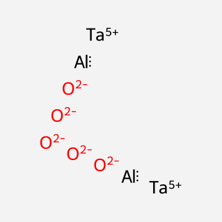 [Al].[Al].[O-2].[O-2].[O-2].[O-2].[O-2].[Ta+5].[Ta+5]